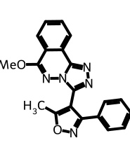 COc1nn2c(-c3c(-c4ccccc4)noc3C)nnc2c2ccccc12